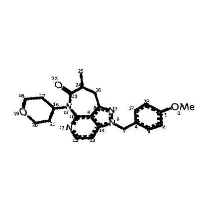 COc1ccc(Cn2nc3c4c(nccc42)N(C2CCOCC2)C(=O)C(C)C3)cc1